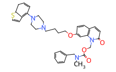 CN(Cc1ccccc1)C(=O)OCn1c(=O)ccc2ccc(OCCCCN3CCN(C4=C5C=CSC5CC=C4)CC3)cc21